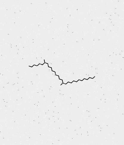 CCCCCCCCCCCCC(C)CCCCCCCCCC(C)CCCCCC